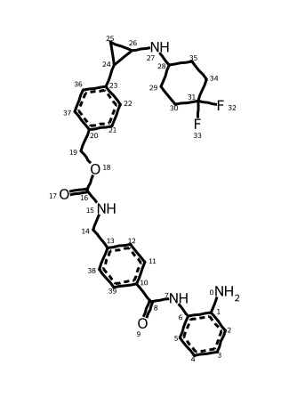 Nc1ccccc1NC(=O)c1ccc(CNC(=O)OCc2ccc(C3CC3NC3CCC(F)(F)CC3)cc2)cc1